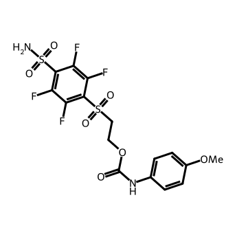 COc1ccc(NC(=O)OCCS(=O)(=O)c2c(F)c(F)c(S(N)(=O)=O)c(F)c2F)cc1